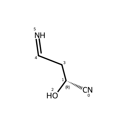 N#C[C@H](O)CC=N